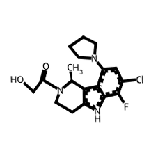 C[C@H]1c2c([nH]c3c(F)c(Cl)cc(N4CCCC4)c23)CCN1C(=O)CO